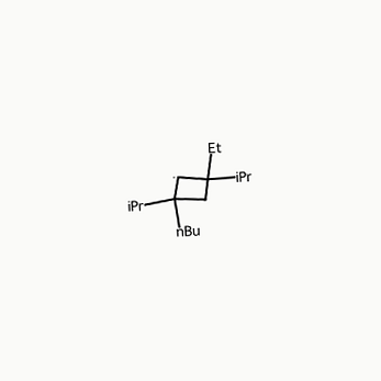 CCCCC1(C(C)C)[CH]C(CC)(C(C)C)C1